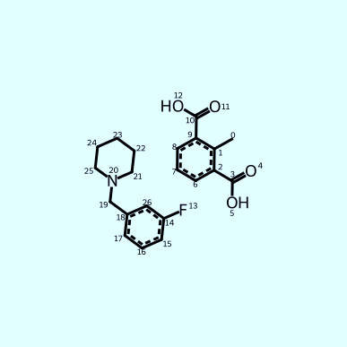 Cc1c(C(=O)O)cccc1C(=O)O.Fc1cccc(CN2CCCCC2)c1